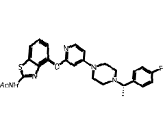 CC(=O)Nc1nc2c(Oc3cc(N4CCN([C@@H](C)c5ccc(F)cc5)CC4)ccn3)cccc2s1